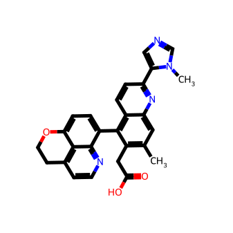 Cc1cc2nc(-c3cncn3C)ccc2c(-c2ccc3c4c(ccnc24)CCO3)c1CC(=O)O